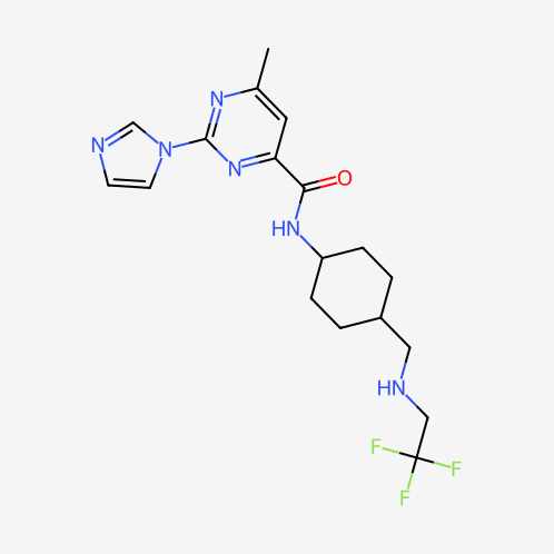 Cc1cc(C(=O)NC2CCC(CNCC(F)(F)F)CC2)nc(-n2ccnc2)n1